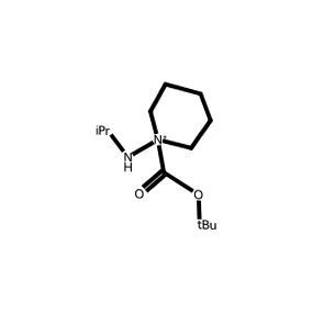 CC(C)N[N+]1(C(=O)OC(C)(C)C)CCCCC1